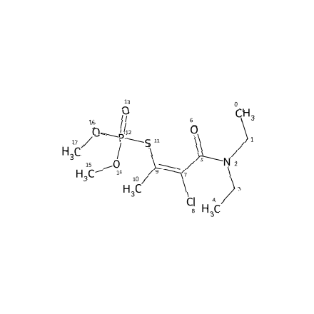 CCN(CC)C(=O)C(Cl)=C(C)SP(=O)(OC)OC